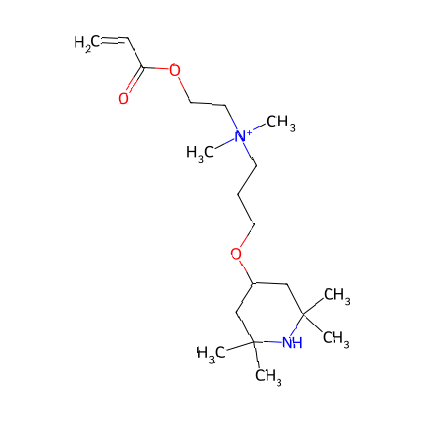 C=CC(=O)OCC[N+](C)(C)CCCOC1CC(C)(C)NC(C)(C)C1